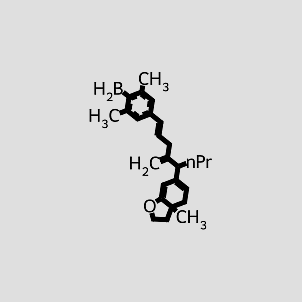 Bc1c(C)cc(/C=C/CC(=C)C(CCC)C2=CCC3(C)CCOC3=C2)cc1C